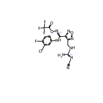 N#C/N=C(\N)NCc1nonc1/C(=N/OC(=O)C(F)(F)F)Nc1ccc(F)c(Cl)c1